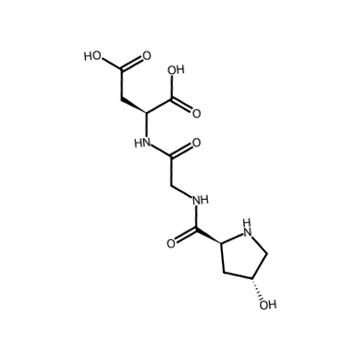 O=C(O)C[C@H](NC(=O)CNC(=O)[C@@H]1C[C@@H](O)CN1)C(=O)O